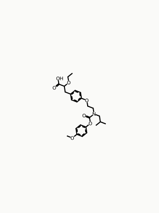 CCOC(Cc1ccc(OCCN(CC(C)C)C(=O)Oc2ccc(OC)cc2)cc1)C(=O)O